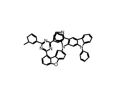 CC1C=C(c2nc(-c3ccccc3)nc(-c3cccc4oc5ccc(-n6c7cc8c(cc7c7ncccc76)c6ccccc6n8-c6ccccc6)cc5c34)n2)C=CC1